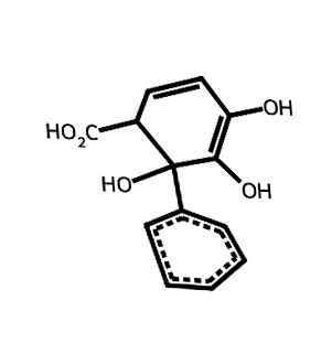 O=C(O)C1C=CC(O)=C(O)C1(O)c1ccccc1